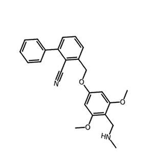 CNCc1c(OC)cc(OCc2cccc(-c3ccccc3)c2C#N)cc1OC